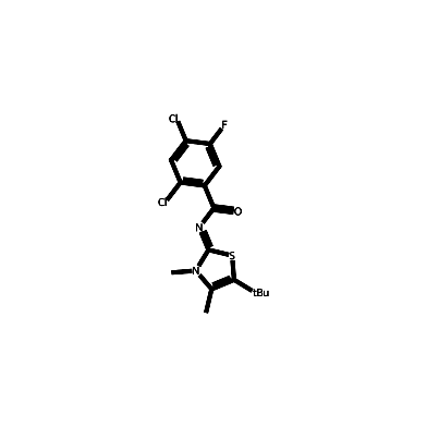 Cc1c(C(C)(C)C)s/c(=N\C(=O)c2cc(F)c(Cl)cc2Cl)n1C